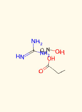 CCC(=O)O.N=C(N)N.O=[N+]([O-])O